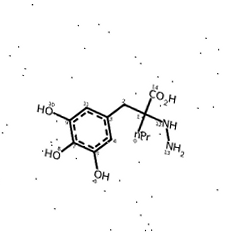 CCCC(Cc1cc(O)c(O)c(O)c1)(NN)C(=O)O